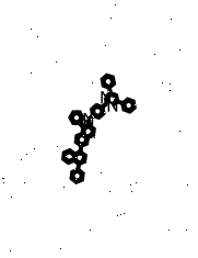 c1ccc(-c2cc(-c3ccccc3)nc(-c3ccc(-n4c5ccccc5c5c6ccc(-c7ccc(-c8ccccc8)c8ccccc78)cc6ccc54)cc3)n2)cc1